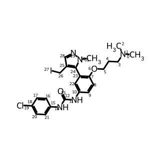 CN(C)CCCOc1ccc(NC(=O)Nc2ccc(Cl)cc2)cc1-c1c(CI)cnn1C